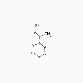 CC(CF)N1CCCCC1